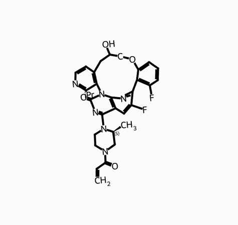 C=CC(=O)N1CCN(c2nc(=O)n3c4nc(c(F)cc24)-c2c(F)cccc2OCC(O)Cc2ccnc(C(C)C)c2-3)[C@@H](C)C1